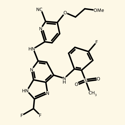 COCCOc1ccc(Nc2cc(Nc3ccc(F)cc3S(C)(=O)=O)c3nc(C(F)F)[nH]c3n2)nc1C#N